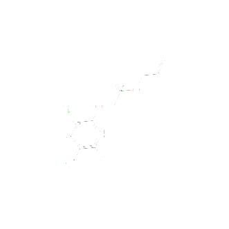 C=CCOC(=O)COc1nc(Cl)c(Cl)cc1Cl